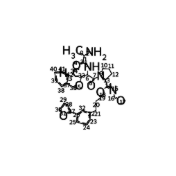 CC(N)C(=O)NC(C(=O)N1CCCC1/C(=N/C=O)OCCCc1cccc(-c2ccco2)c1)C(C)OCc1ccccc1